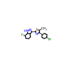 Cc1sc(-c2n[nH]c3c(F)cccc23)nc1-c1ccc(Br)cc1